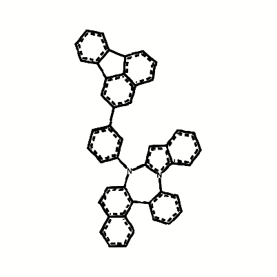 c1cc(-c2cc3c4c(cccc4c2)-c2ccccc2-3)cc(N2c3ccc4ccccc4c3-c3ccccc3-n3c2cc2ccccc23)c1